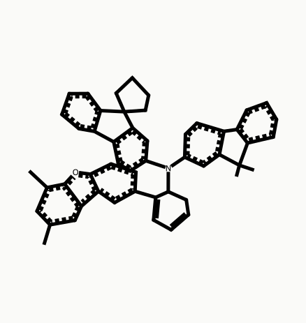 Cc1cc(C)c2oc3ccc(C4=CC=CCC4N(c4ccc5c(c4)C(C)(C)c4ccccc4-5)c4ccc5c(c4)C4(CCCC4)c4ccccc4-5)cc3c2c1